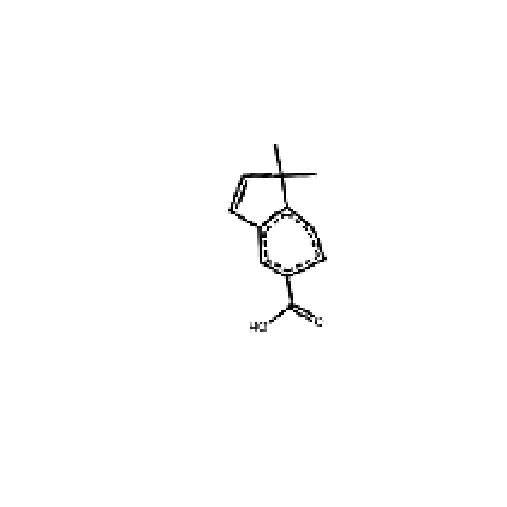 CC1(C)C=Cc2cc(C(=O)O)ccc21